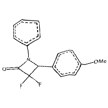 COc1ccc(C2N(c3ccccc3)C(=O)C2(F)F)cc1